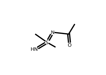 CC(=O)N=S(C)(C)=N